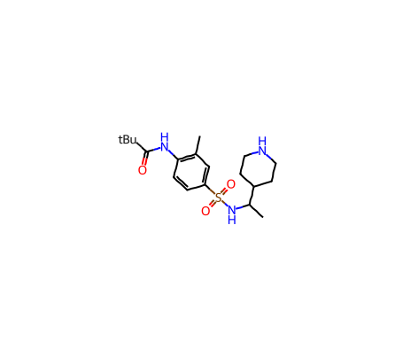 Cc1cc(S(=O)(=O)NC(C)C2CCNCC2)ccc1NC(=O)C(C)(C)C